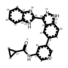 O=C(Nc1cncc(-c2ccc3[nH]nc(-c4nc5ccccc5[nH]4)c3c2)c1)C1CC1